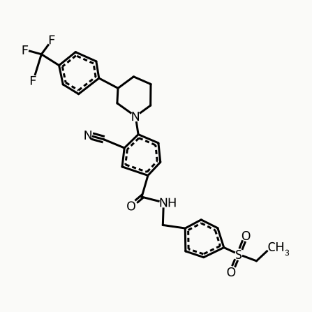 CCS(=O)(=O)c1ccc(CNC(=O)c2ccc(N3CCCC(c4ccc(C(F)(F)F)cc4)C3)c(C#N)c2)cc1